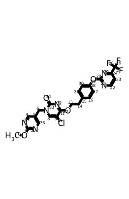 COc1ncc(Cn2cc(Cl)c(OCCc3ccc(Oc4nccc(C(F)(F)F)n4)cc3)nc2=O)cn1